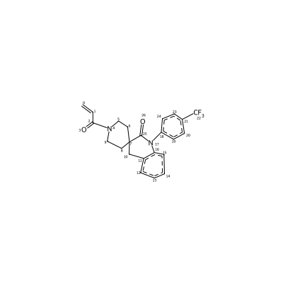 C=CC(=O)N1CCC2(CC1)Cc1ccccc1N(c1ccc(C(F)(F)F)cc1)C2=O